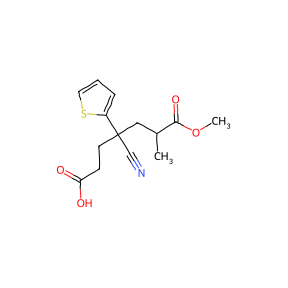 COC(=O)C(C)CC(C#N)(CCC(=O)O)c1cccs1